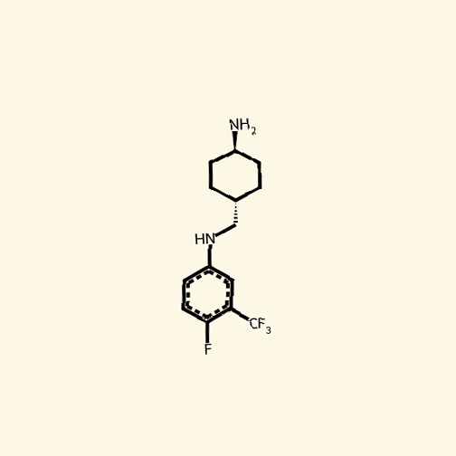 N[C@H]1CC[C@H](CNc2ccc(F)c(C(F)(F)F)c2)CC1